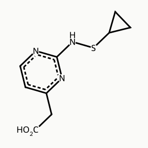 O=C(O)Cc1ccnc(NSC2CC2)n1